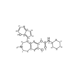 CN1CCc2cc(Cl)c(OC(=O)NC3CCCCC3)cc2C(c2ccc3cccoc2-3)C1